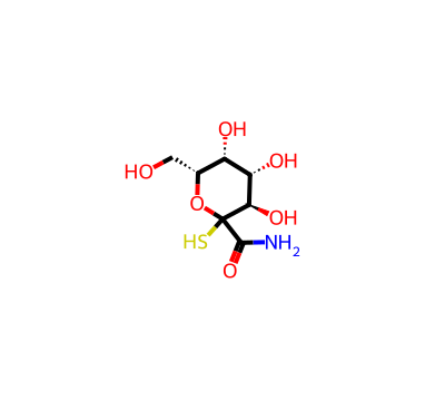 NC(=O)C1(S)O[C@H](CO)[C@H](O)[C@H](O)[C@H]1O